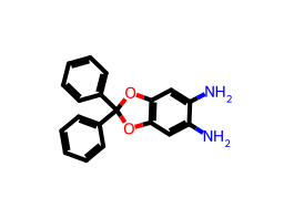 Nc1cc2c(cc1N)OC(c1ccccc1)(c1ccccc1)O2